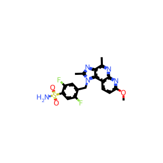 COc1ccc2c(n1)nc(C)c1nc(C)n(Cc3cc(F)c(S(N)(=O)=O)cc3F)c12